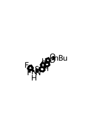 CCCCC(=O)O[C@H]1CC[C@H]2[C@@H]3CC=C4c5sc(Nc6ccc(F)cc6F)nc5CC[C@]4(C)[C@H]3CC[C@]12C